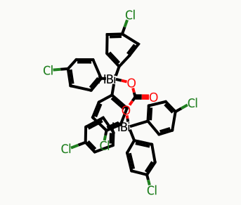 O=C([O][BiH]([c]1ccc(Cl)cc1)([c]1ccc(Cl)cc1)[c]1ccc(Cl)cc1)[O][BiH]([c]1ccc(Cl)cc1)([c]1ccc(Cl)cc1)[c]1ccc(Cl)cc1